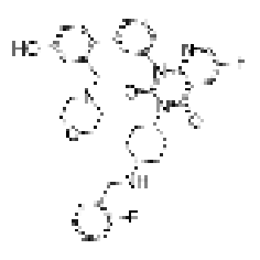 O=c1c2cc(F)cnc2n(-c2cccc(-c3ccc(O)cc3CN3CCOCC3)c2)c(=O)n1C1CCC(NCc2ccccc2F)CC1